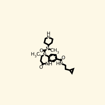 C[C@H]1CC(=O)Nc2cc(C(=O)NCCC3CC3)ccc2N1C(=O)N(C)C1CCNCC1